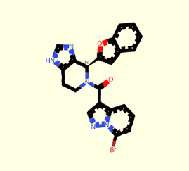 O=C(c1cnn2c(Br)cccc12)N1CCc2[nH]cnc2[C@H]1c1cc2ccccc2o1